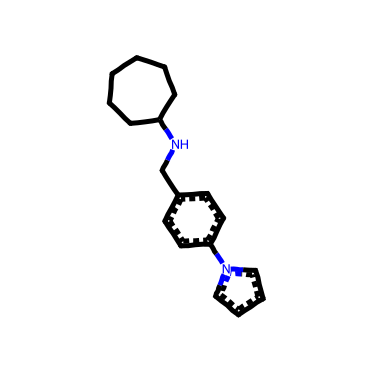 c1ccn(-c2ccc(CNC3CCCCCC3)cc2)c1